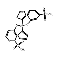 CS(=O)(=O)c1cccc([O][Zr]([O]c2cccc(S(C)(=O)=O)c2)([C]2=CC=CC2)[C]2=CC=CC2)c1